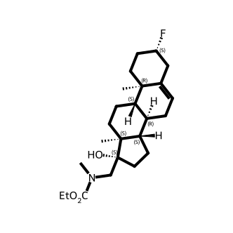 CCOC(=O)N(C)C[C@]1(O)CC[C@H]2[C@@H]3CC=C4C[C@@H](F)CC[C@]4(C)[C@H]3CC[C@@]21C